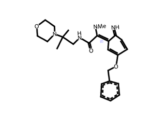 CN/C(C(=O)NCC(C)(C)N1CCOCC1)=C1/C=C(OCc2ccccc2)C=CC1=N